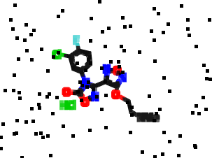 CNCCOc1nonc1-c1noc(=O)n1-c1ccc(F)c(Cl)c1.Cl